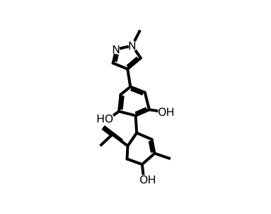 C=C(C)C1CC(O)C(C)=CC1c1c(O)cc(-c2cnn(C)c2)cc1O